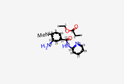 CCOC(=O)CC.CNc1ccc(C(=O)Nc2ccccn2)cc1N